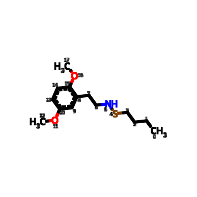 CCCCSNCCc1cc(OC)ccc1OC